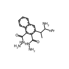 CCCC(N)C(C)c1cc2ccccc2c(C(=O)NN)c1C(=O)NN